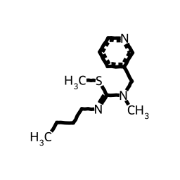 CCCCN=C(SC)N(C)Cc1cccnc1